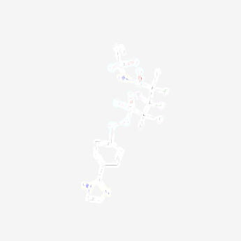 O=S(=O)(NS(=O)(=O)C(F)(F)C(F)(F)C(F)(F)S(=O)(=O)OOc1ccc(-c2ncc[nH]2)cc1)C(F)(F)F